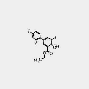 CCOC(=O)c1cc(-c2ccc(F)cc2F)cc(I)c1O